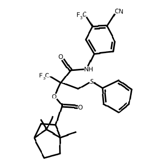 CC1(C)C2CCC1(C)C(C(=O)OC(CSc1ccccc1)(C(=O)Nc1ccc(C#N)c(C(F)(F)F)c1)C(F)(F)F)C2